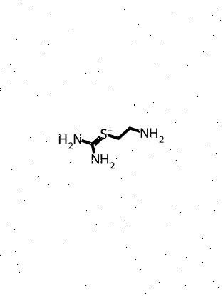 NCC[S+]=C(N)N